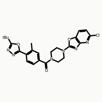 Cc1cc(C(=O)N2CCN(c3nc4nc(Cl)ccc4o3)CC2)ccc1-c1nnc(C(C)(C)C)o1